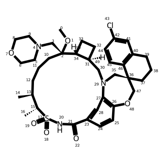 CO[C@@]1(CN2CCOCC2)CCC[C@H](C)[C@@H](C)S(=O)(=O)NC(=O)c2ccc3c(c2)N(C[C@@H]2CC[C@H]21)C[C@@]1(CCCc2cc(Cl)ccc21)CO3